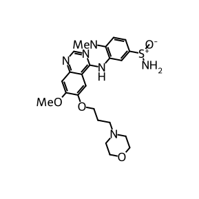 CNc1ccc([S+](N)[O-])cc1Nc1ncnc2cc(OC)c(OCCCN3CCOCC3)cc12